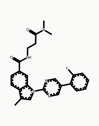 Cc1cn(-c2ncc(-c3ccccc3F)cn2)c2cc(C(=O)NCCC(=O)N(C)C)ccc12